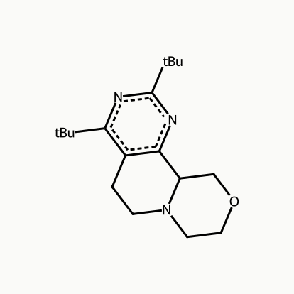 CC(C)(C)c1nc2c(c(C(C)(C)C)n1)CCN1CCOCC21